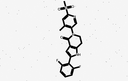 Cc1cc(S(C)(=O)=O)ncc1N1CCc2[nH]c(-c3c(F)cccc3F)cc2C1=O